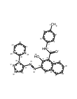 Cc1ccc(NC(=O)c2c(O)c(/N=N/c3cnnn3-c3ncccn3)cc3ccccc23)cc1